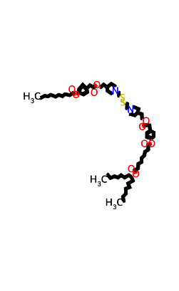 CCCCCCCCCCC(=O)OC1=C=C=C(CC(=O)OCCC2CCN(CCSSCCN3CCC(CCOC(=O)CC4=CC=C(OC(=O)CCCCCCCC(=O)OC(CCCCCCCC)CCCCCCCC)CC4)CC3)CC2)C=C1